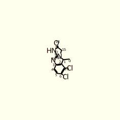 CC1c2c(ccc(Cl)c2Cl)N=C2NC(=O)CN21